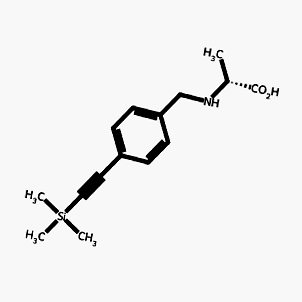 C[C@@H](NCc1ccc(C#C[Si](C)(C)C)cc1)C(=O)O